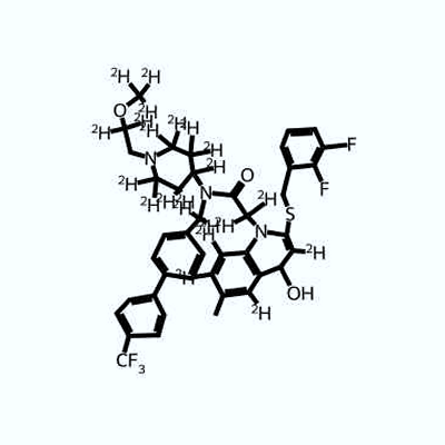 [2H]C1=C(SCc2cccc(F)c2F)N(C([2H])([2H])C(=O)N(C([2H])([2H])c2ccc(-c3ccc(C(F)(F)F)cc3)cc2)C2([2H])C([2H])([2H])C([2H])([2H])N(CC([2H])([2H])OC([2H])([2H])[2H])C([2H])([2H])C2([2H])[2H])c2c([2H])c([2H])c(C)c([2H])c2C1O